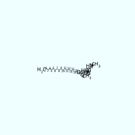 CCCCCCCCCCCCCCCCCCOC[C@H](COP(=O)(O)OCCNC)OC